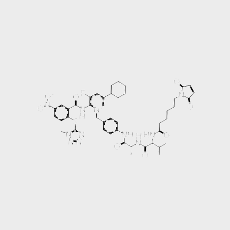 CC(C)[C@H](NC(=O)CCCCCN1C(=O)C=CC1=O)C(=O)N[C@@H](C)C(=O)Nc1ccc(C[n+]2cc(C3CCCCC3)cc(F)c2NC(=O)c2cc([N+](=O)[O-])ccc2Sc2nnnn2C)cc1